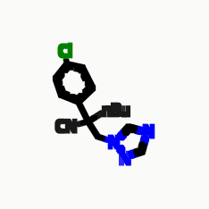 [C-]#[N+]C(CCCC)(Cn1cncn1)c1ccc(Cl)cc1